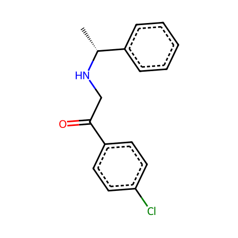 C[C@@H](NCC(=O)c1ccc(Cl)cc1)c1ccccc1